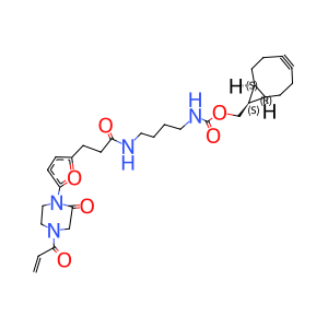 C=CC(=O)N1CCN(c2ccc(CCC(=O)NCCCCNC(=O)OC[C@@H]3[C@@H]4CCC#CCC[C@@H]43)o2)C(=O)C1